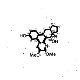 COc1cc2c(nc1OC)c1c(c3ccc(O)cc32)CC2CCC[C@@H]2[C@@H]1O